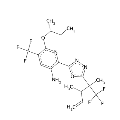 C=CC(C)C(C)(c1nnc(-c2nc(O[C@H](C)CC)c(C(F)(F)F)cc2N)o1)C(F)(F)F